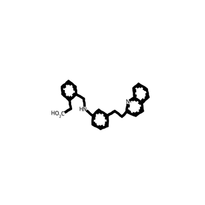 O=C(O)Cc1ccccc1CNc1cccc(CCc2ccc3ccccc3n2)c1